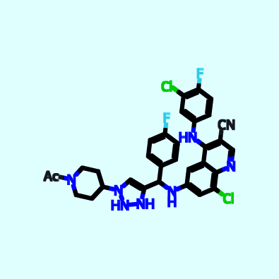 CC(=O)N1CCC(N2C=C(C(Nc3cc(Cl)c4ncc(C#N)c(Nc5ccc(F)c(Cl)c5)c4c3)c3ccc(F)cc3)NN2)CC1